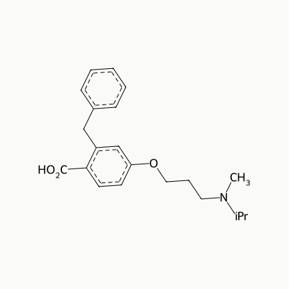 CC(C)N(C)CCCOc1ccc(C(=O)O)c(Cc2ccccc2)c1